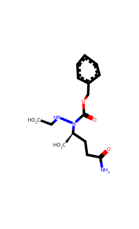 NC(=O)CC[C@@H](C(=O)O)N(NCC(=O)O)C(=O)OCc1ccccc1